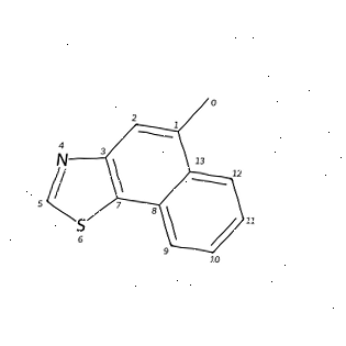 Cc1cc2ncsc2c2ccccc12